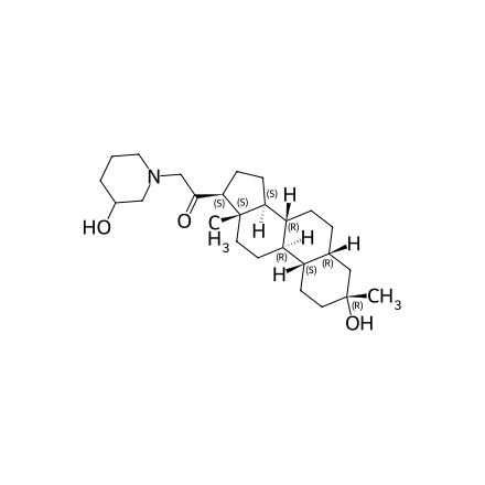 C[C@@]1(O)CC[C@H]2[C@H](CC[C@@H]3[C@@H]2CC[C@]2(C)[C@@H](C(=O)CN4CCCC(O)C4)CC[C@@H]32)C1